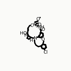 COCCN1CC/C=C/C(O)[C@@H]2CC[C@H]2CN2CCCCc3cc(Cl)ccc3COc3ccc(cc32)C(=O)NS1(=O)=O